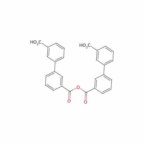 O=C(O)c1cccc(-c2cccc(C(=O)OC(=O)c3cccc(-c4cccc(C(=O)O)c4)c3)c2)c1